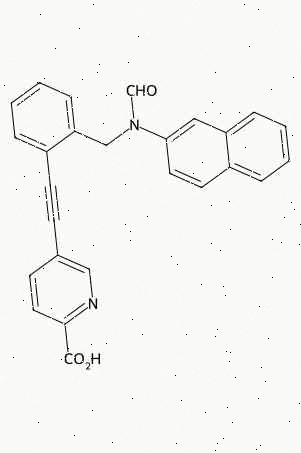 O=CN(Cc1ccccc1C#Cc1ccc(C(=O)O)nc1)c1ccc2ccccc2c1